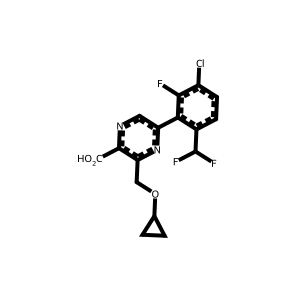 O=C(O)c1ncc(-c2c(C(F)F)ccc(Cl)c2F)nc1COC1CC1